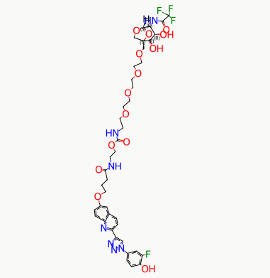 O=C(CCCOc1ccc2nc(-c3cn(-c4ccc(O)c(F)c4)nn3)ccc2c1)NCCOC(=O)NCCOCCOCCOCCOC[C@@]12CO[C@@H](O1)[C@H](NC(=O)C(F)(F)F)[C@@H](O)[C@H]2O